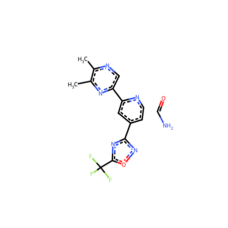 Cc1ncc(-c2cc(-c3noc(C(F)(F)F)n3)ccn2)nc1C.NC=O